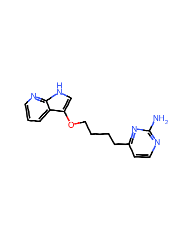 Nc1nccc(CCCCOc2c[nH]c3ncccc23)n1